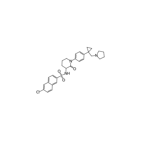 O=C1C(NS(=O)(=O)c2ccc3cc(Cl)ccc3c2)CCCN1c1ccc(C2(CN3CCCC3)CC2)cc1